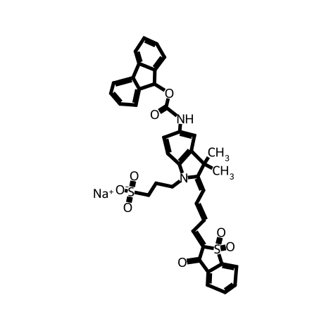 CC1(C)/C(=C/C=C/C=C2/C(=O)c3ccccc3S2(=O)=O)N(CCCS(=O)(=O)[O-])c2ccc(NC(=O)OC3c4ccccc4-c4ccccc43)cc21.[Na+]